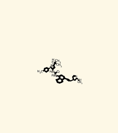 CNc1cc(CC#Cc2ccc(NC(=O)Nc3cc(C(C)(C)C)nn3-c3ccc(C)cc3)c3ccccc23)ccn1